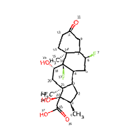 C[C@@H]1CC2C3C[C@H](F)C4CC(=O)CC[C@]4(C)[C@@]3(F)[C@@H](O)C[C@]2(C)[C@@]1(O)C(=O)O